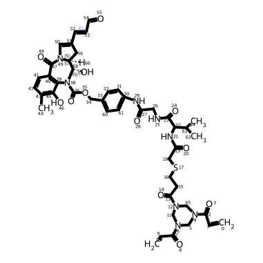 C=CC(=O)N1CN(C(=O)C=C)CN(C(=O)CCSCC(=O)NC(C(=O)NCC(=O)Nc2ccc(COC(=O)N3c4c(ccc(C)c4O)C(=O)N4C=C(/C=C/C=O)C[C@H]4[C@@H]3O)cc2)C(C)C)C1